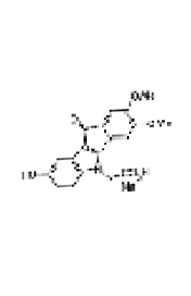 COc1cc2c(cc1OC)-c1c(c3cc(O)ccc3n1CC(=O)O)C2=O.[Na]